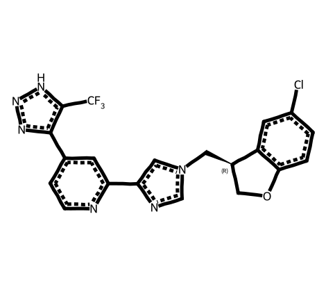 FC(F)(F)c1[nH]nnc1-c1ccnc(-c2cn(C[C@@H]3COc4ccc(Cl)cc43)cn2)c1